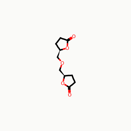 O=C1CC[C@H](COC[C@H]2CCC(=O)O2)O1